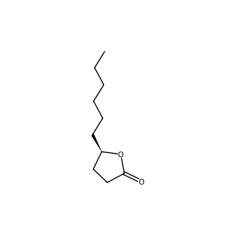 CCCCCC[C@@H]1CCC(=O)O1